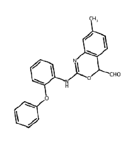 Cc1ccc2c(c1)N=C(Nc1ccccc1Oc1ccccc1)OC2C=O